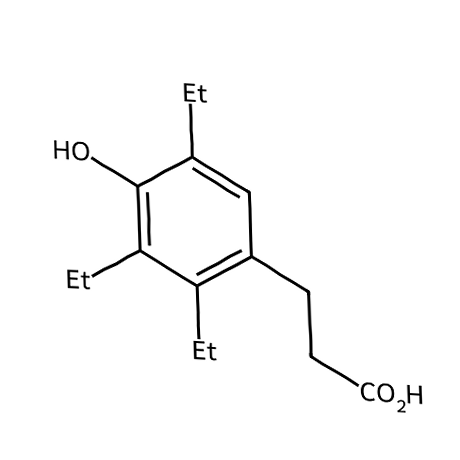 CCc1cc(CCC(=O)O)c(CC)c(CC)c1O